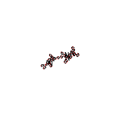 c1ccc(-c2ccc3c(c2)c2cc4ccccc4cc2n3-c2ccc(-c3nc(-c4ccc5ccccc5c4)c4cc(-c5ccc(-c6ccc(-c7ccc8c(c7)c7cc9ccccc9cc7n8-c7ccc(-c8nc(-c9ccccc9)c9cc(-c%10ccccc%10)c(-c%10ccccc%10)cc9n8)c8ccccc78)cc6)cc5)c(-c5ccccc5)cc4n3)c3ccccc23)cc1